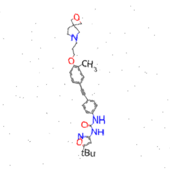 Cc1cc(C#Cc2ccc(NC(=O)Nc3cc(C(C)(C)C)on3)cc2)ccc1OCCCN1CCC2(COC2)C1